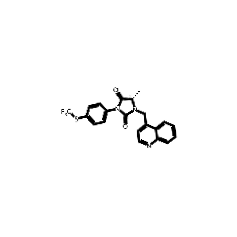 C[C@H]1C(=O)N(c2ccc(SC(F)(F)F)cc2)C(=O)N1Cc1ccnc2ccccc12